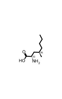 CCCC[C@@H](C)C[C@H](N)C(=O)O